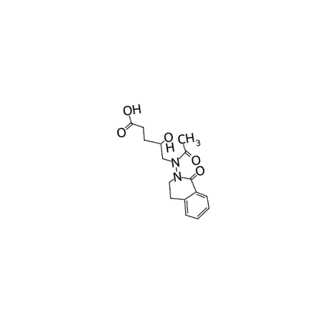 CC(=O)N(CC(O)CCC(=O)O)N1CCc2ccccc2C1=O